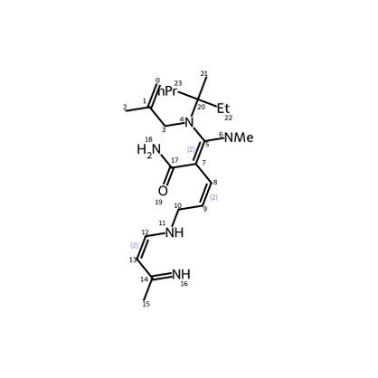 C=C(C)CN(/C(NC)=C(/C=C\CN/C=C\C(C)=N)C(N)=O)C(C)(CC)CCC